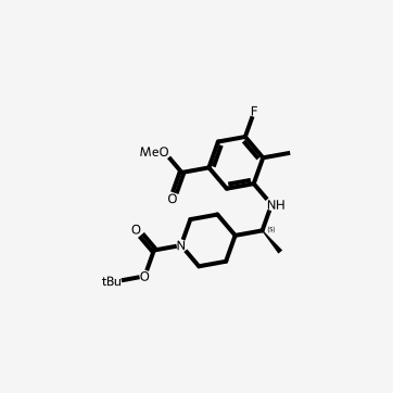 COC(=O)c1cc(F)c(C)c(N[C@@H](C)C2CCN(C(=O)OC(C)(C)C)CC2)c1